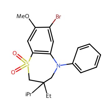 CCC1(C(C)C)CN(c2ccccc2)c2cc(Br)c(OC)cc2S(=O)(=O)C1